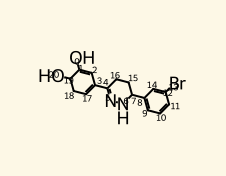 OC1=CC(C2=NNC(c3cccc(Br)c3)CC2)=CCC1O